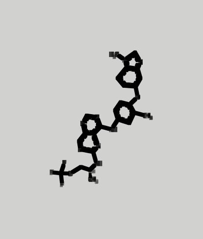 Cc1cc(Nc2ncnc3cnc(N[C@H](C)COC(F)(F)F)nc23)ccc1Oc1ccc2c(c1)ncn2C